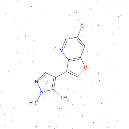 Cc1c(-c2coc3cc(Cl)cnc23)cnn1C